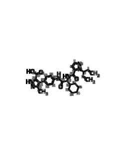 C=CC(C=C)n1nccc1C(=O)N[C@H](C(=O)Nc1ccc(-c2c(C)n[nH]c2C(=O)O)cc1)C1CCCCC1